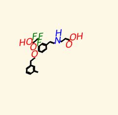 Cc1cccc(CCOc2ccc(CCNCCC(=O)O)cc2)c1.O=C(O)C(F)(F)F